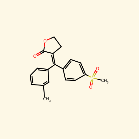 Cc1cccc(/C(=C2/CCOC2=O)c2ccc(S(C)(=O)=O)cc2)c1